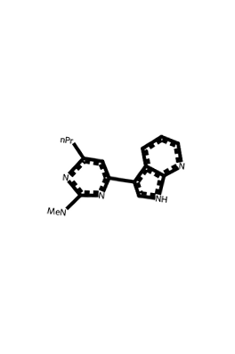 CCCc1cc(-c2c[nH]c3ncccc23)nc(NC)n1